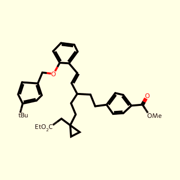 CCOC(=O)CC1(CCC(C=Cc2ccccc2OCc2ccc(C(C)(C)C)cc2)CCc2ccc(C(=O)OC)cc2)CC1